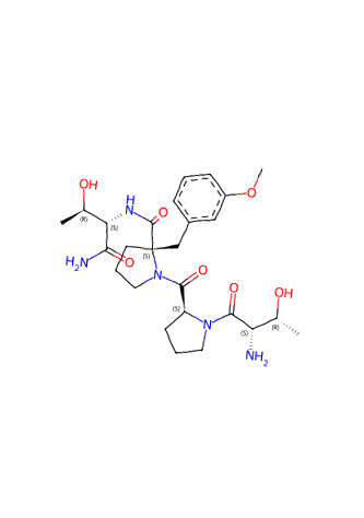 COc1cccc(C[C@]2(C(=O)N[C@H](C(N)=O)[C@@H](C)O)CCCN2C(=O)[C@@H]2CCCN2C(=O)[C@@H](N)[C@@H](C)O)c1